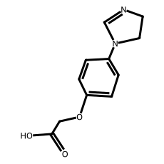 O=C(O)COc1ccc(N2C=NCC2)cc1